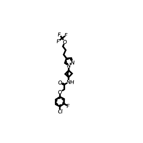 O=C(COc1ccc(Cl)c(F)c1)NC12CC(n3cc(CCCOC(F)(F)F)cn3)(C1)C2